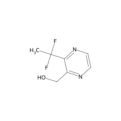 CC(F)(F)c1nccnc1CO